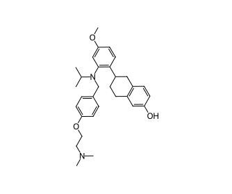 COc1ccc(C2CCc3cc(O)ccc3C2)c(N(Cc2ccc(OCCN(C)C)cc2)C(C)C)c1